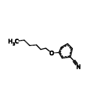 CCCCCCOc1cccc(C#N)c1